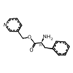 N[C@@H](Cc1ccccc1)C(=O)OCc1cccnc1